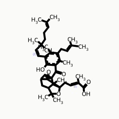 CC(C)=CCCC(C)(C)/C=C\c1c(C)c(CC=C(C)C)c(C)c(C(=O)C2=CC3CC4C(C)(C)OC(C/C=C(\C)C(=O)O)(C3=O)C24C)c1O